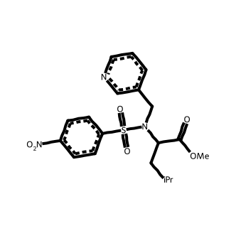 COC(=O)C(CC(C)C)N(Cc1cccnc1)S(=O)(=O)c1ccc([N+](=O)[O-])cc1